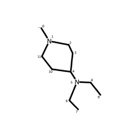 [CH2]N1CCC(N(CC)CC)CC1